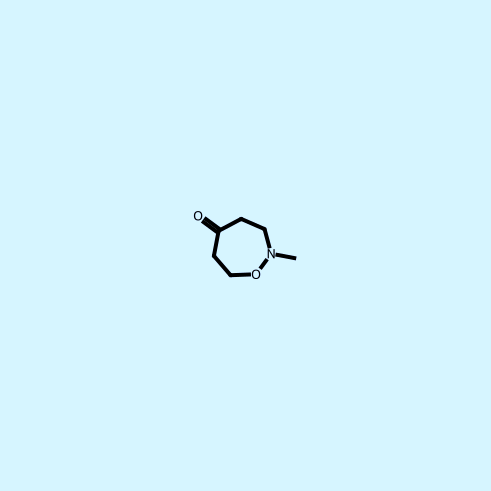 CN1CCC(=O)CCO1